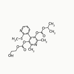 CSc1ncccc1-c1c(OC(=O)OCCO)c(C)nc(C)c1OC(=O)OC(C)C